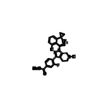 COC(=O)c1ccc(-c2nn(C(=O)c3c(Cl)cccc3C3(C(F)(F)F)CC3)c3c2CCN(Cl)C3)c(F)c1